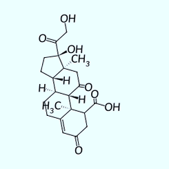 C[C@]12CC(=O)[C@H]3[C@@H](CCC4=CC(=O)CC(C(=O)O)[C@@]43C)[C@@H]1CC[C@]2(O)C(=O)CO